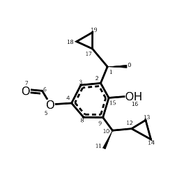 C[C@@H](c1cc(OC=O)cc([C@H](C)C2CC2)c1O)C1CC1